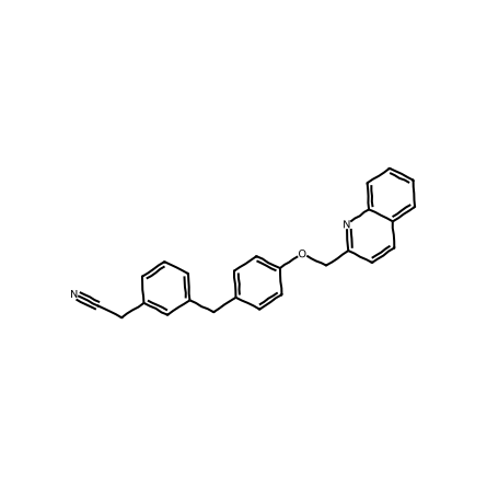 N#CCc1cccc(Cc2ccc(OCc3ccc4ccccc4n3)cc2)c1